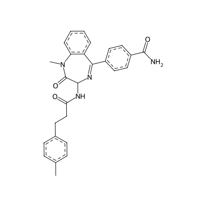 Cc1ccc(CCC(=O)NC2N=C(c3ccc(C(N)=O)cc3)c3ccccc3N(C)C2=O)cc1